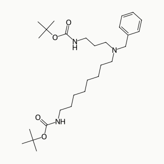 CC(C)(C)OC(=O)NCCCCCCCCN(CCCNC(=O)OC(C)(C)C)Cc1ccccc1